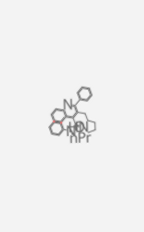 CCCN(C(=O)c1c(CC2CCCN2)c(-c2ccccc2)nc2ccccc12)c1ccccc1